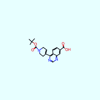 CC(C)(C)OC(=O)N1CC=C(c2ncnc3cc(C(=O)O)ccc23)CC1